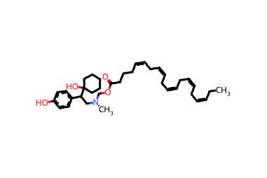 CC/C=C\C/C=C\C/C=C\C/C=C\C/C=C\CCCC(=O)OCN(C)CC(c1ccc(O)cc1)C1(O)CCCCC1